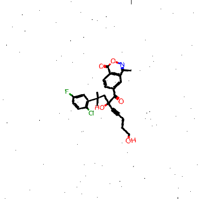 Cc1noc(=O)c2ccc(C(=O)C(O)(C#CCCCO)CC(C)(C)c3cc(F)ccc3Cl)cc12